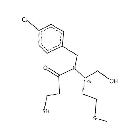 CSCC[C@@H](CO)N(Cc1ccc(Cl)cc1)C(=O)CCS